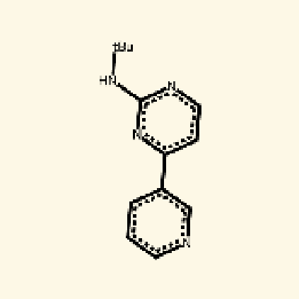 CC(C)(C)Nc1nccc(-c2cccnc2)n1